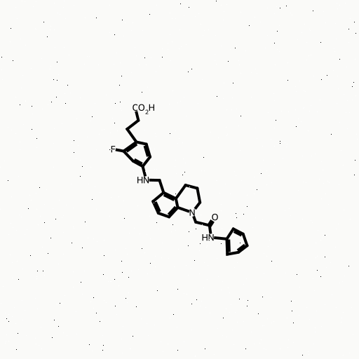 O=C(O)CCc1ccc(NCc2cccc3c2CCCN3CC(=O)Nc2ccccc2)cc1F